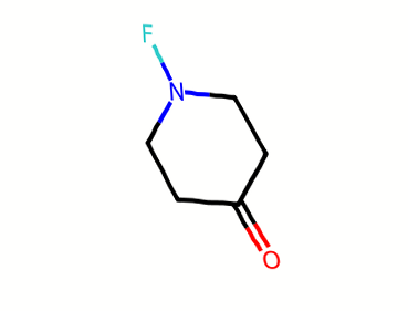 O=C1CCN(F)CC1